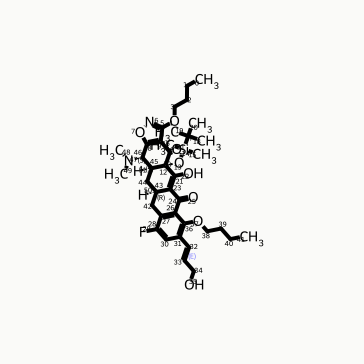 CCCCOc1noc2c1C(=O)[C@@]1(O[Si](C)(C)C(C)(C)C)C(O)=C3C(=O)c4c(c(F)cc(/C=C/CO)c4OCCCC)C[C@H]3C[C@H]1[C@@H]2N(C)C